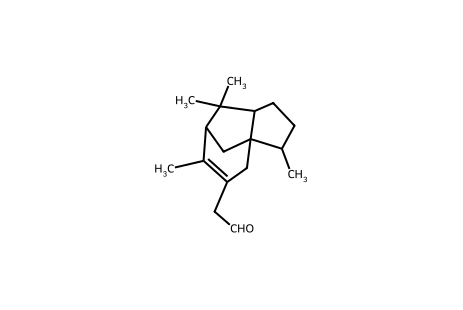 CC1=C(CC=O)CC23CC1C(C)(C)C2CCC3C